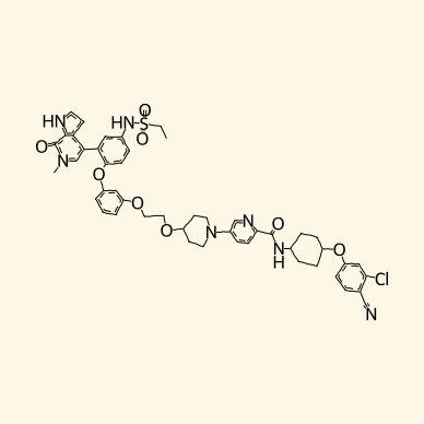 CCS(=O)(=O)Nc1ccc(Oc2cccc(OCCOC3CCN(c4ccc(C(=O)NC5CCC(Oc6ccc(C#N)c(Cl)c6)CC5)nc4)CC3)c2)c(-c2cn(C)c(=O)c3[nH]ccc23)c1